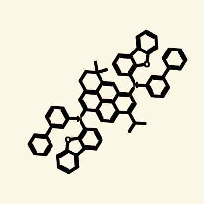 CC(C)c1cc(N(c2cccc(-c3ccccc3)c2)c2cccc3c2oc2ccccc23)c2cc3c4c(cc(N(c5cccc(-c6ccccc6)c5)c5cccc6c5oc5ccccc56)c5ccc1c2c54)CCC3(C)C